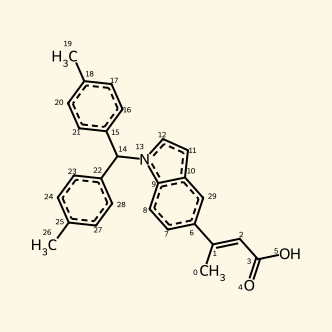 CC(=CC(=O)O)c1ccc2c(ccn2C(c2ccc(C)cc2)c2ccc(C)cc2)c1